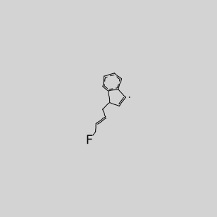 FCC=CCC1C=[C]c2ccccc21